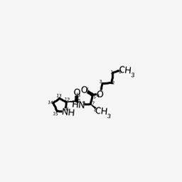 CCCCOC(=O)[C@@H](C)NC(=O)[C@@H]1CCCN1